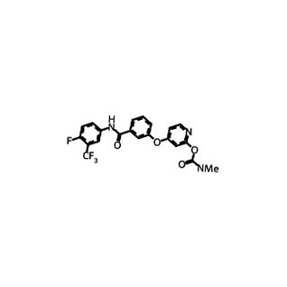 CNC(=O)Oc1cc(Oc2cccc(C(=O)Nc3ccc(F)c(C(F)(F)F)c3)c2)ccn1